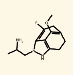 COC1=C2CCC3=C1C(=C(F)C2)N(CC(C)N)N3